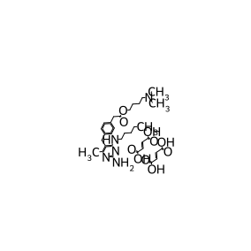 CCCCCNc1nc(N)nc(C)c1Cc1ccc(CC(=O)OCCCCN(C)C)cc1.O=C(O)C=CC(=O)O.O=C(O)C=CC(=O)O